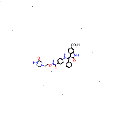 O=C1CN(CCONC(=O)c2ccc(N/C(=C3/C(=O)Nc4cc(C(=O)O)ccc43)c3ccccc3)cc2)CCN1